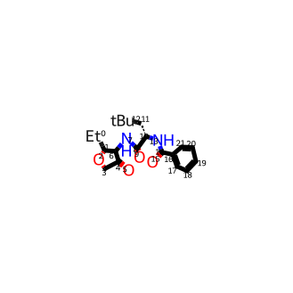 CCC1OCC(=O)C1NC(=O)[C@H](CC(C)(C)C)NC(=O)c1ccccc1